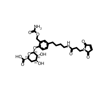 NC(=O)OCc1cc(CCCCNC(=O)CCN2C(=O)C=CC2=O)ccc1O[C@@H]1O[C@H](C(=O)O)C[C@H](O)[C@H]1O